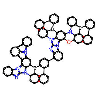 c1ccc(-c2ccccc2B2c3ccccc3N3c4cc5c6c(c4Oc4cccc2c43)n2c3cccc(-c4ccc(B7c8ccccc8-n8c9c7cc7c(c%10cccc%11c%12ccccc%12n7c%11%10)c9n7c9ccccc9nc87)c(-c7ccccc7)c4)c3nc2n6-c2ccccc2B5c2ccccc2-c2ccccc2)cc1